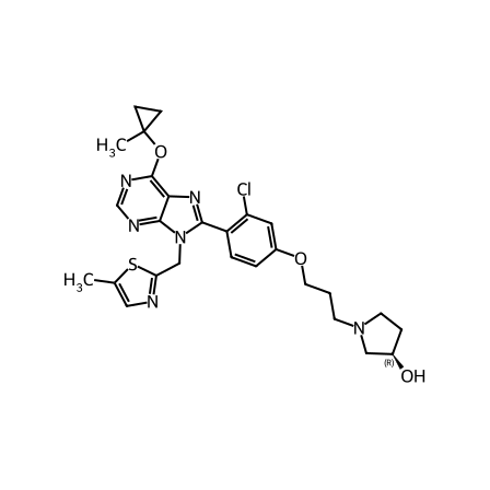 Cc1cnc(Cn2c(-c3ccc(OCCCN4CC[C@@H](O)C4)cc3Cl)nc3c(OC4(C)CC4)ncnc32)s1